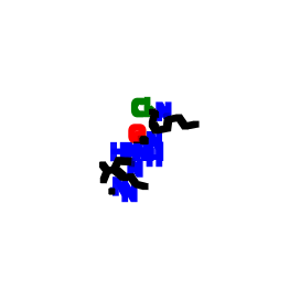 CCCc1cc(NC(=O)NNc2cc(C(C)C)c3c(n2)c(C)nn3C)cc(Cl)n1